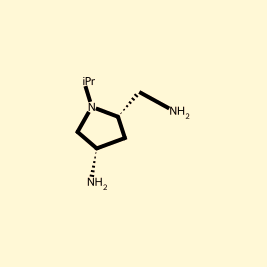 CC(C)N1C[C@@H](N)C[C@H]1CN